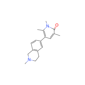 Cc1cc(-c2ccc3c(c2)CCN(C)C3)c(C)n(C)c1=O